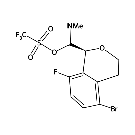 CNC(OS(=O)(=O)C(F)(F)F)[C@H]1OCCc2c(Br)ccc(F)c21